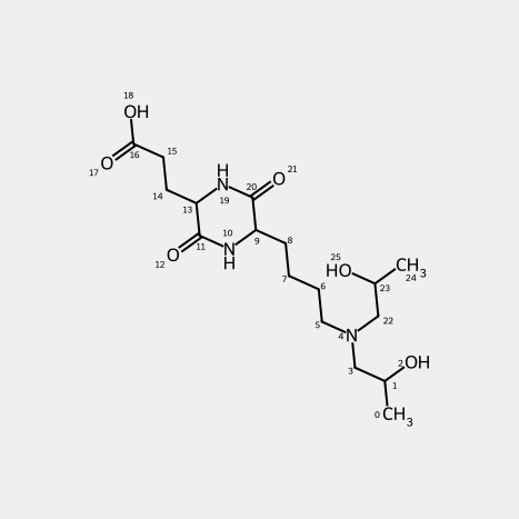 CC(O)CN(CCCCC1NC(=O)C(CCC(=O)O)NC1=O)CC(C)O